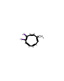 Cc1cccccc(I)c(I)cc1